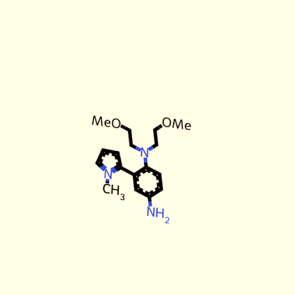 COCCN(CCOC)c1ccc(N)cc1-c1cccn1C